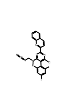 Cc1cc(F)cc(F)c1-c1c(Cl)nc(-c2ccc3ccccc3n2)nc1NCN=[N+]=[N-]